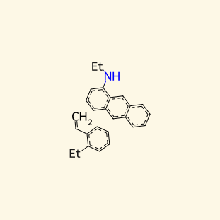 C=Cc1ccccc1CC.CCNc1cccc2cc3ccccc3cc12